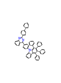 c1ccc(-c2ccc(-c3nc(-c4ccc(-n5c6ccccc6c6c(-c7ccccc7)c(-c7ccccc7)c(-c7ccccc7)c(-c7ccccc7)c65)cc4)c4ccccc4n3)cc2)cc1